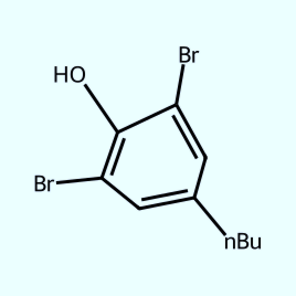 CCCCc1cc(Br)c(O)c(Br)c1